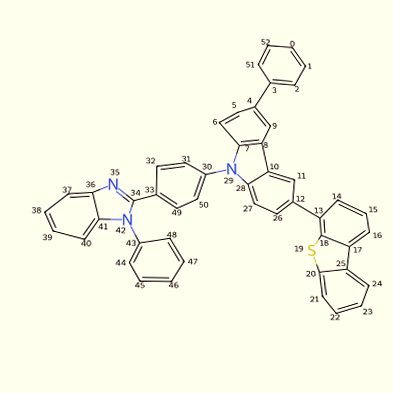 c1ccc(-c2ccc3c(c2)c2cc(-c4cccc5c4sc4ccccc45)ccc2n3-c2ccc(-c3nc4ccccc4n3-c3ccccc3)cc2)cc1